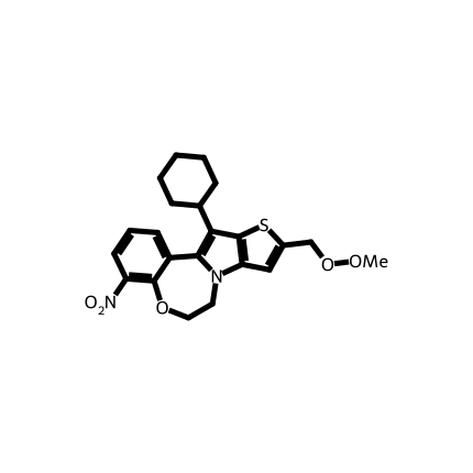 COOCc1cc2c(s1)c(C1CCCCC1)c1n2CCOc2c-1cccc2[N+](=O)[O-]